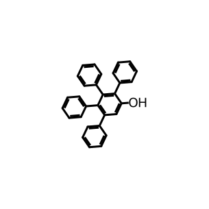 Oc1cc(-c2ccccc2)c(-c2ccccc2)c(-c2ccccc2)c1-c1ccccc1